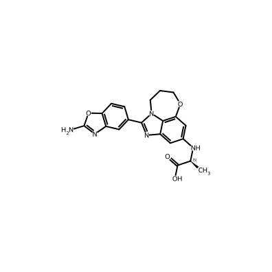 C[C@H](Nc1cc2c3c(c1)nc(-c1ccc4oc(N)nc4c1)n3CCCO2)C(=O)O